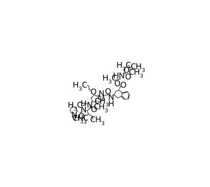 CCCO[C@H](CC(C(C)C)N(CCC)C(=O)[C@@H](NC(=O)[C@H]1CCCCN1C)[C@@H](C)CC)c1nc(C(=O)N[C@H]2Cc3ccccc3[C@H](C(=O)OC(C)CNC(=O)OC(C)(C)C)C2)cs1